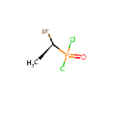 C[C@@H](Br)P(=O)(Cl)Cl